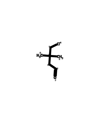 CC(C)(CCl)CC=O